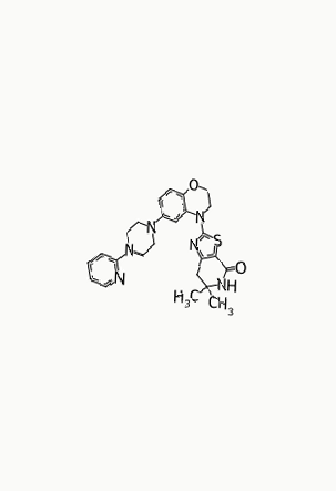 CC1(C)Cc2nc(N3CCOc4ccc(N5CCN(c6ccccn6)CC5)cc43)sc2C(=O)N1